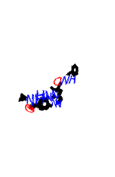 Cc1ccc(C(=O)NC2CC2)cc1Nc1nncc2cc(C(=O)NCc3ccccc3)c(C)n12